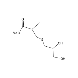 COC(=O)C(C)CSCC(O)CO